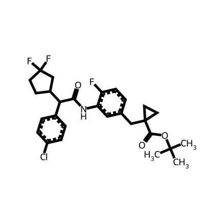 CC(C)(C)OC(=O)C1(Cc2ccc(F)c(NC(=O)C(c3ccc(Cl)cc3)C3CCC(F)(F)C3)c2)CC1